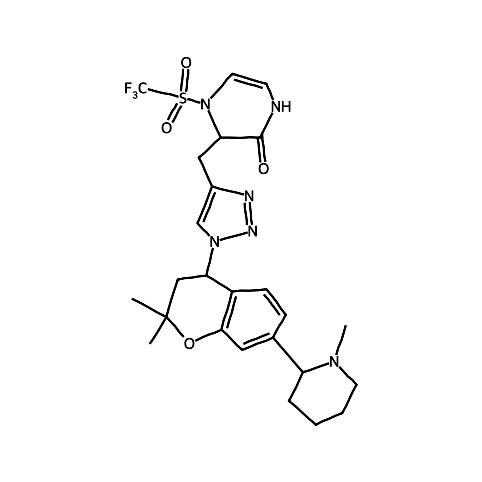 CN1CCCCC1c1ccc2c(c1)OC(C)(C)CC2n1cc(CC2C(=O)NC=CN2S(=O)(=O)C(F)(F)F)nn1